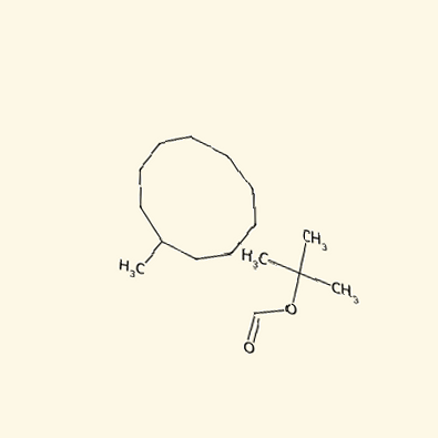 CC(C)(C)OC=O.CC1CCCCCCCCC1